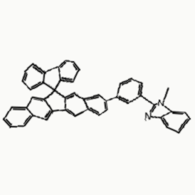 Cn1c(-c2cccc(-c3ccc4cc5c(cc4c3)C3(c4ccccc4-c4ccccc43)c3cc4ccccc4cc3-5)c2)nc2ccccc21